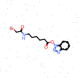 O=C(CBr)NCCCCCC(=O)On1nnc2ccccc21